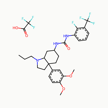 CCCN1CCC2(c3ccc(OC)c(OC)c3)CCC(NC(=O)Nc3cccc(C(F)(F)F)c3F)CC12.O=C(O)C(F)(F)F